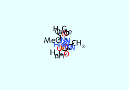 CCCO[C@@H](c1cnc(C)cn1)[C@H](C)S(=O)(=O)Nc1nnc([C@H]2CC[C@@H](C)O2)n1C(CCOC)OC